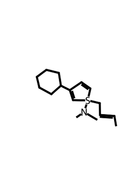 CC=CCS1(N(C)C)C=CC(C2CCCCC2)=C1